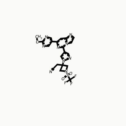 COc1ncc(-c2cc3nccn3c(-c3cnn(C4(CC#N)CN(S(=O)(=O)C(F)(F)F)C4)c3)n2)cn1